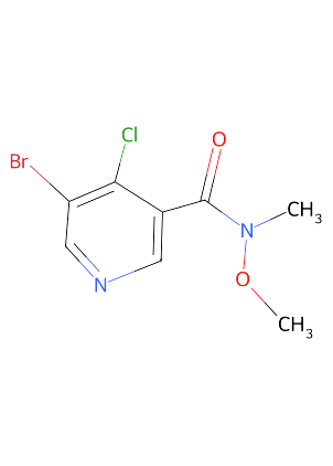 CON(C)C(=O)c1cncc(Br)c1Cl